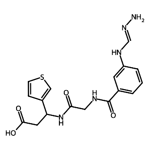 NN=CNc1cccc(C(=O)NCC(=O)NC(CC(=O)O)c2ccsc2)c1